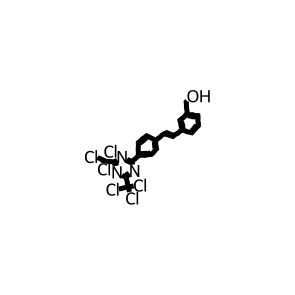 OCc1cccc(C=Cc2ccc(-c3nc(C(Cl)(Cl)Cl)nc(C(Cl)(Cl)Cl)n3)cc2)c1